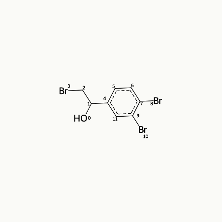 OC(CBr)c1ccc(Br)c(Br)c1